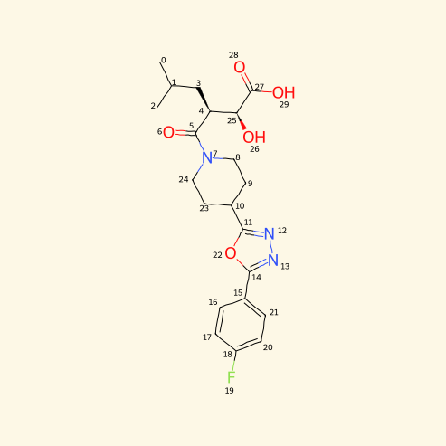 CC(C)C[C@H](C(=O)N1CCC(c2nnc(-c3ccc(F)cc3)o2)CC1)[C@H](O)C(=O)O